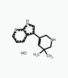 CC1(C)C=C(c2c[nH]c3ncccc23)CNC1.Cl